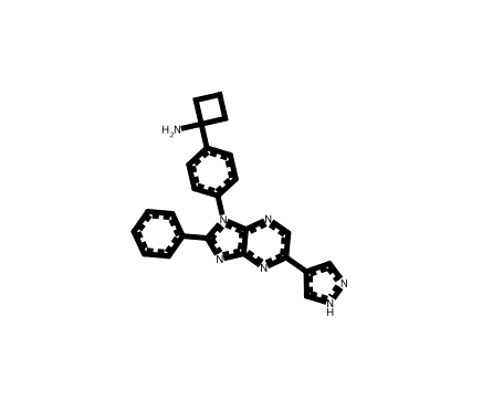 NC1(c2ccc(-n3c(-c4ccccc4)nc4nc(-c5cn[nH]c5)cnc43)cc2)CCC1